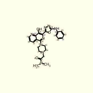 CN(C)C(=O)CN1CCN(c2nc(-c3nnc(Nc4ccccc4)o3)c(O)c3ncccc23)CC1